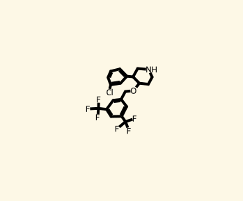 FC(F)(F)c1cc(COC2CCNCC2c2cccc(Cl)c2)cc(C(F)(F)F)c1